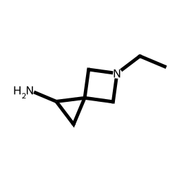 CCN1CC2(CC2N)C1